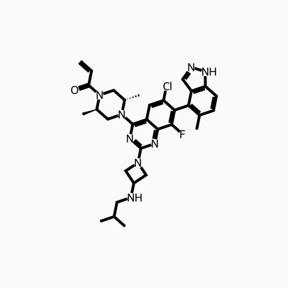 C=CC(=O)N1C[C@H](C)N(c2nc(N3CC(NCC(C)C)C3)nc3c(F)c(-c4c(C)ccc5[nH]ncc45)c(Cl)cc23)C[C@H]1C